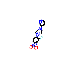 O=[N+]([O-])c1ccc(N2CCN(c3cccnc3)CC2)c(F)c1